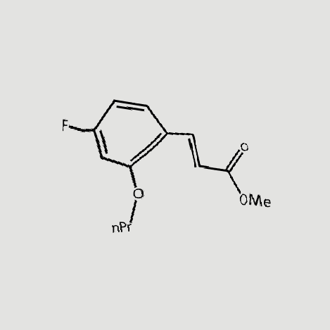 CCCOc1cc(F)ccc1/C=C/C(=O)OC